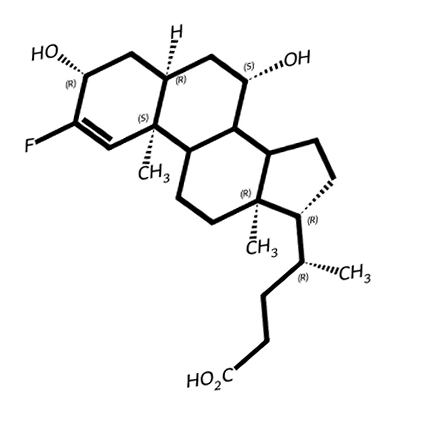 C[C@H](CCC(=O)O)[C@H]1CCC2C3C(CC[C@@]21C)[C@@]1(C)C=C(F)[C@H](O)C[C@H]1C[C@@H]3O